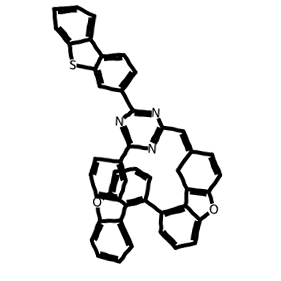 C1=Cc2oc3cccc(-c4cccc5oc6ccccc6c45)c3c2C/C1=C\c1nc(-c2ccccc2)nc(-c2ccc3c(c2)sc2ccccc23)n1